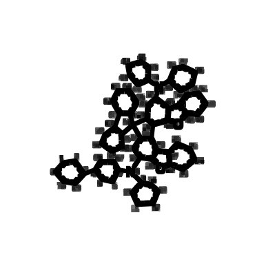 c1ccc(-c2ccc(N(c3ccccc3)c3cc4c(c5c3oc3ccccc35)-c3c(cc(N(c5ccccc5)c5ccccc5)c5c3oc3ccccc35)C43c4ccccc4-c4ccccc43)cc2)cc1